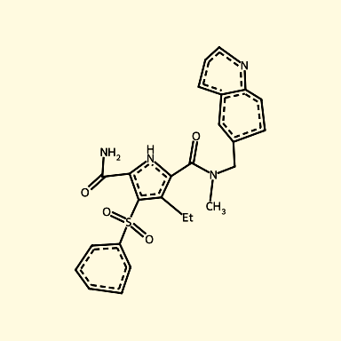 CCc1c(C(=O)N(C)Cc2ccc3ncccc3c2)[nH]c(C(N)=O)c1S(=O)(=O)c1ccccc1